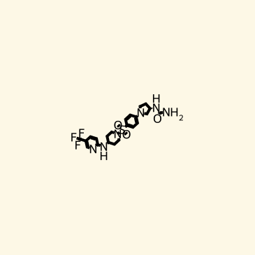 NC(=O)N[C@H]1CCN(c2ccc(S(=O)(=O)N3CCC(Nc4ccc(C(F)(F)F)cn4)CC3)cc2)C1